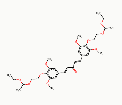 CCOC(C)OCCOc1c(OC)cc(/C=C/C(=O)/C=C/c2cc(OC)c(OCCOC(C)OCC)c(OC)c2)cc1OC